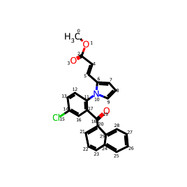 COC(=O)/C=C/c1cccn1-c1ccc(Cl)cc1C(=O)c1cccc2ccccc12